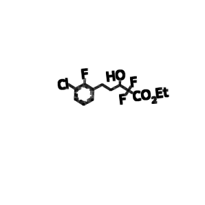 CCOC(=O)C(F)(F)C(O)CCc1cccc(Cl)c1F